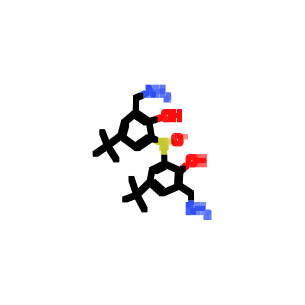 CC(C)(C)c1cc(CN)c(O)c([S+]([O-])c2cc(C(C)(C)C)cc(CN)c2O)c1